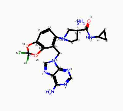 Nc1ncnc2c1ncn2Cc1c(N2CC[C@](N)(C(=O)NC3CC3)C2)ccc2c1OC(F)(F)O2